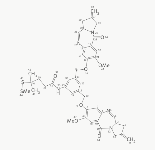 C=C1CC2C=Nc3cc(OCc4cc(COc5cc6c(cc5OC)C(=O)N5CC(=C)CC5C=N6)cc(NC(=O)CCC(C)(C)SSC)c4)c(OC)cc3C(=O)N2C1